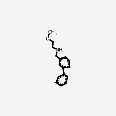 COCCNCc1cccc(-c2c[c]ccc2)c1